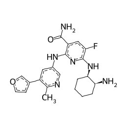 Cc1ncc(Nc2nc(N[C@@H]3CCCC[C@@H]3N)c(F)cc2C(N)=O)cc1-c1ccoc1